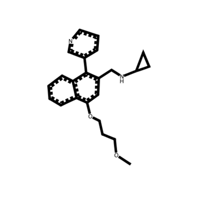 COCCCOc1cc(CNC2CC2)c(-c2cccnc2)c2ccccc12